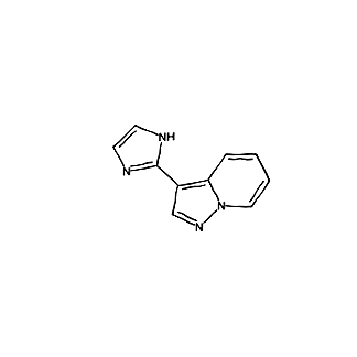 c1ccn2ncc(-c3ncc[nH]3)c2c1